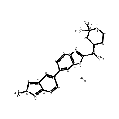 CN(c1nc2ccc(-c3ccc4nn(C)cc4c3)cc2s1)C1CCNC(C)(C)C1.Cl